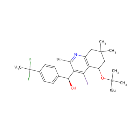 CC(C)c1nc2c(c(I)c1[C@@H](O)c1ccc(C(C)(F)F)cc1)C(O[Si](C)(C)C(C)(C)C)CC(C)(C)C2